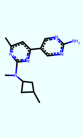 Cc1cc(-c2cnc(N)nc2)nc(N(C)C2CC(C)C2)n1